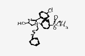 CS(=O)(=O)c1ccc([N+]2(CSc3ccccc3)CC(O)N=C2c2ccc(Cl)cc2)cc1